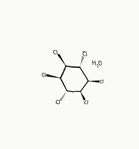 Cl[C@H]1[C@H](Cl)[C@@H](Cl)[C@@H](Cl)[C@H](Cl)[C@H]1Cl.O